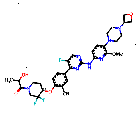 COc1nc(Nc2ncc(F)c(-c3ccc(O[C@@H]4CCN(C(=O)C(C)O)CC4(F)F)c(C#N)c3)n2)ccc1N1CCN(C2COC2)CC1